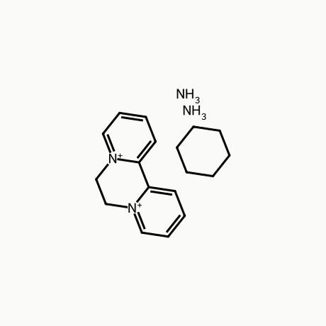 C1CCCCC1.N.N.c1cc[n+]2c(c1)-c1cccc[n+]1CC2